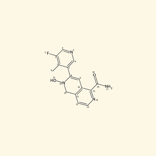 Cc1c(F)cncc1C1=Cc2c(c[c]nc2C(N)=O)CN1O